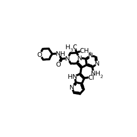 CC1(C)CN(C(=O)NC2CCOCC2)Cc2c(-c3[nH]c4ncccc4c3Cl)c3c(N)ncnc3n21